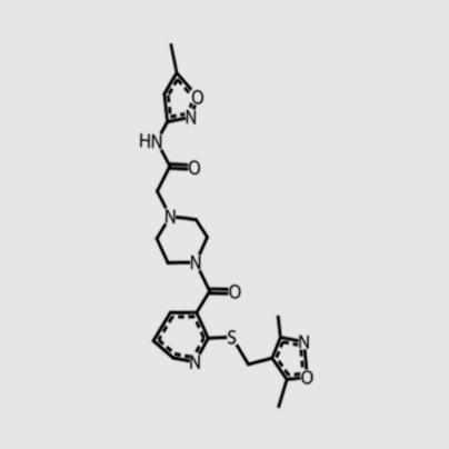 Cc1cc(NC(=O)CN2CCN(C(=O)c3cccnc3SCc3c(C)noc3C)CC2)no1